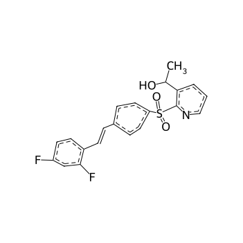 CC(O)c1cccnc1S(=O)(=O)c1ccc(/C=C/c2ccc(F)cc2F)cc1